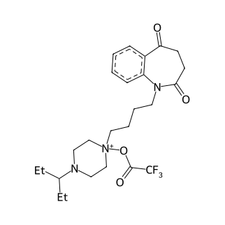 CCC(CC)N1CC[N+](CCCCN2C(=O)CCC(=O)c3ccccc32)(OC(=O)C(F)(F)F)CC1